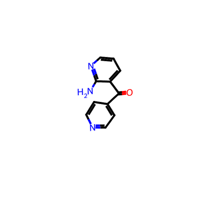 Nc1ncccc1C(=O)c1ccncc1